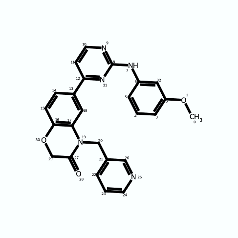 COc1cccc(Nc2nccc(-c3ccc4c(c3)N(Cc3cccnc3)C(=O)CO4)n2)c1